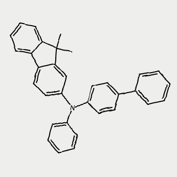 CC1(C)c2ccccc2-c2ccc(N(c3ccccc3)c3ccc(-c4ccccc4)cc3)cc21